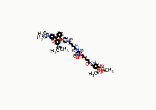 CCOP(=O)(OCC)C(Br)c1ccc(CNC(=O)CCCCCNC(=O)C(CS(=O)(=O)O)NC(=O)CCCCC(=O)N2CCN(C(=O)c3ccccc3-c3c4ccc(N(CC)CC)cc4[o+]c4cc(N(CC)CC)ccc34)CC2)cc1